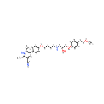 C=C1NC(C)=C(c2ccc(OCCCCNC[C@H](O)COc3ccc(CCOC)cc3)cc2)C=C1C#N